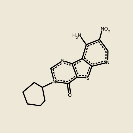 Nc1c([N+](=O)[O-])cnc2sc3c(=O)n(C4CCCCC4)cnc3c12